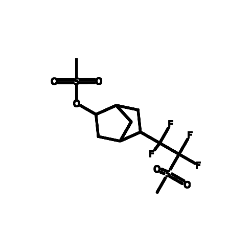 CS(=O)(=O)OC1CC2CC1CC2C(F)(F)C(F)(F)S(C)(=O)=O